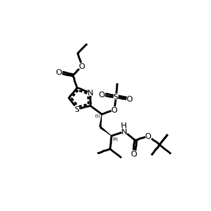 CCOC(=O)c1csc([C@H](C[C@@H](NC(=O)OC(C)(C)C)C(C)C)OS(C)(=O)=O)n1